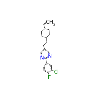 C=CC1CCC(CCc2cnc(-c3ccc(F)c(Cl)c3)nc2)CC1